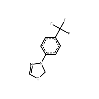 FC(F)(F)c1ccc(N2COC=N2)cc1